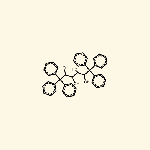 OC([C@H](O)[C@@H](O)C(O)C(c1ccccc1)(c1ccccc1)c1ccccc1)C(c1ccccc1)(c1ccccc1)c1ccccc1